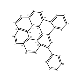 c1ccc(-c2cc3c4ccccc4c4ccc5ccc6ccc7ccc2c2c7c6c5c4c32)cc1